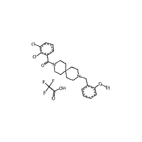 CCOc1ccccc1CN1CCC2(CC1)CCN(C(=O)c1cccc(Cl)c1Cl)CC2.O=C(O)C(F)(F)F